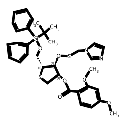 COc1ccc(C(=O)O[C@H]2CS[C@H](CO[Si](c3ccccc3)(c3ccccc3)C(C)(C)C)[C@H]2OSCn2ccnc2)c(OC)c1